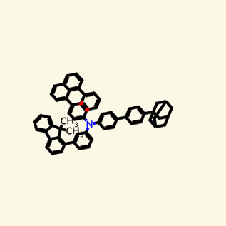 CC1(C)c2ccccc2-c2cccc(-c3cccc(N(c4ccc(-c5ccc(C67CC8CC(CC(C8)C6)C7)cc5)cc4)c4ccc(-c5cccc6cccc(-c7ccccc7)c56)cc4)c3)c21